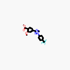 COC(=O)c1ccc(-c2ncn(-c3ccc(C(F)(F)F)cc3)n2)cc1OC